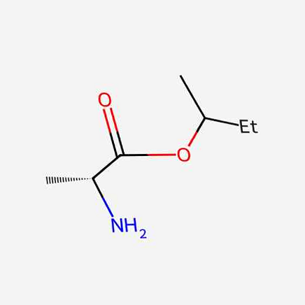 CCC(C)OC(=O)[C@@H](C)N